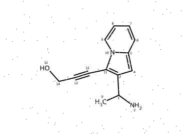 CC(N)c1cc2ccccn2c1C#CCO